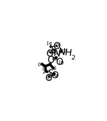 CC1CS(=O)(=O)CC1OC(=O)N(N)S(C)(=O)=O